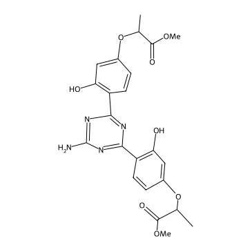 COC(=O)C(C)Oc1ccc(-c2nc(N)nc(-c3ccc(OC(C)C(=O)OC)cc3O)n2)c(O)c1